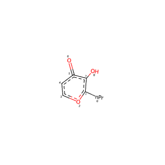 CCCc1occc(=O)c1O